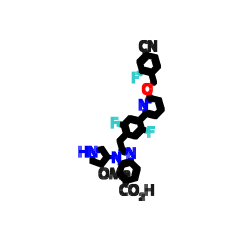 CO[C@@H]1CNC[C@H]1n1c(Cc2cc(F)c(-c3cccc(OCc4ccc(C#N)cc4F)n3)cc2F)nc2ccc(C(=O)O)cc21